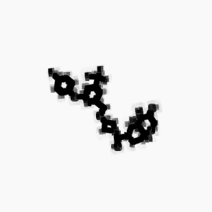 O=C1CO[C@H]2CCN(C(=O)N3CC(OCc4cc(C(F)(F)F)cc(Oc5ccc(F)cc5)n4)C3)C[C@H]2N1